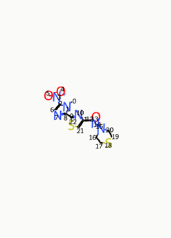 Cn1c([N+](=O)[O-])cnc1-c1nc(C2ON2N2CCSCC2)cs1